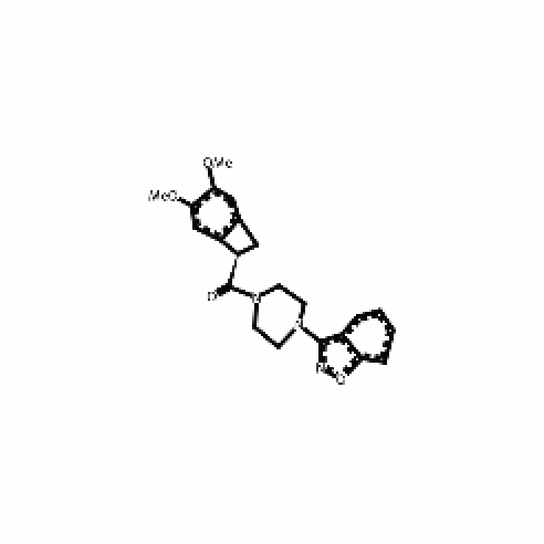 COc1cc2c(cc1OC)[C@H](C(=O)N1CCN(c3noc4ccccc34)CC1)C2